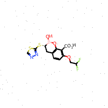 O=C(O)c1c(OCC(F)F)ccc2c1OB(O)[C@@H](Sc1nncs1)C2